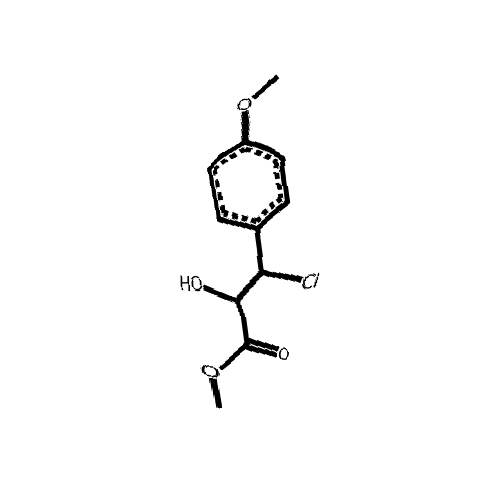 COC(=O)C(O)C(Cl)c1ccc(OC)cc1